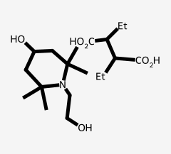 CC1(C)CC(O)CC(C)(C)N1CCO.CCC(C(=O)O)C(CC)C(=O)O